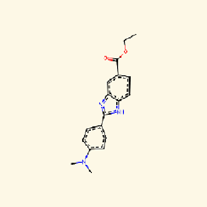 CCOC(=O)c1ccc2[nH]c(-c3ccc(N(C)C)cc3)nc2c1